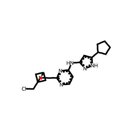 ClCC12CC(C1)N(c1nccc(Nc3cc(C4CCCC4)[nH]n3)n1)C2